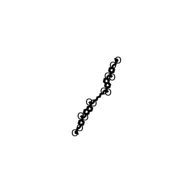 O=C(OCCCCCCOC(=O)c1ccc2cc(OC(=O)c3ccc(OCC4CO4)cc3)ccc2c1)c1ccc2cc(OC(=O)c3ccc(OCC4CO4)cc3)ccc2c1